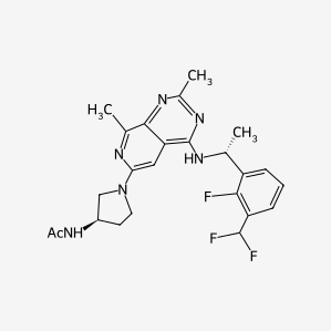 CC(=O)N[C@@H]1CCN(c2cc3c(N[C@H](C)c4cccc(C(F)F)c4F)nc(C)nc3c(C)n2)C1